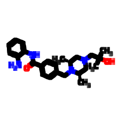 C[C@@H]1CN(CC(C)(C)O)C[C@H](C)N1Cc1ccc(C(=O)Nc2ccccc2N)cc1